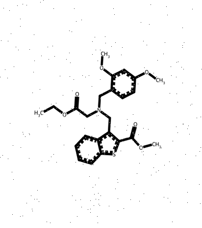 CCOC(=O)CN(Cc1ccc(OC)cc1OC)Cc1c(C(=O)OC)sc2ccccc12